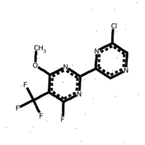 COc1nc(-c2cncc(Cl)n2)nc(F)c1C(F)(F)F